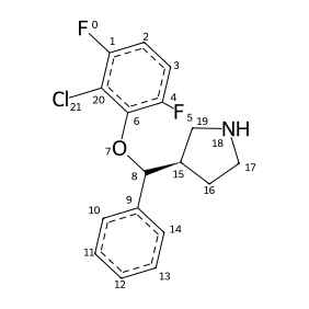 Fc1ccc(F)c(OC(c2ccccc2)[C@@H]2CCNC2)c1Cl